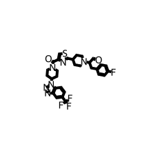 O=CC(Cc1ccc(F)cc1)N1CCC(c2nc(C(=O)N3CCC(n4nnc5cc(C(F)(F)F)ccc54)CC3)cs2)CC1